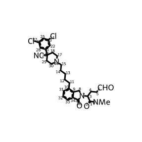 CNC(=O)C(CCC=O)N1Cc2c(CCCCCN3CCC(C#N)(c4cc(Cl)cc(Cl)c4)CC3)cccc2C1=O